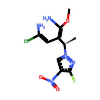 CO/C(N)=C(/C=C(\N)Cl)[C@H](C)n1cc([N+](=O)[O-])c(F)n1